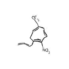 C=Cc1cc(C(F)(F)F)ccc1[N+](=O)[O-]